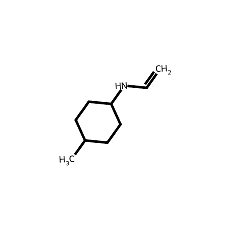 C=CNC1CCC(C)CC1